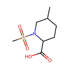 CC1CCC(C(=O)O)N(S(C)(=O)=O)C1